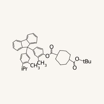 Cc1cc(C2(c3ccc(C(C)C)c(C)c3)c3ccccc3-c3ccccc32)ccc1OC(=O)C1CCCC(C(=O)OC(C)(C)C)CCC1